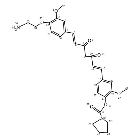 COc1cc(C=CC(=O)CC(=O)C=Cc2ccc(OC(=O)N3CCCC3)c(OC)c2)ccc1OCCN